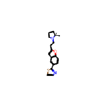 C[C@@H]1CCCN1CCc1cc2cc(-c3nccs3)ccc2o1